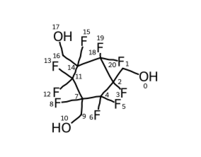 OCC1(F)C(F)(F)C(F)(CO)C(F)(F)C(F)(CO)C1(F)F